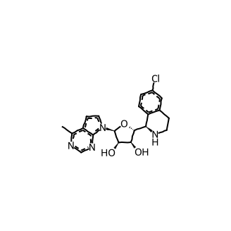 Cc1ncnc2c1ccn2[C@H]1O[C@H]([C@@H]2NCCc3cc(Cl)ccc32)[C@@H](O)[C@H]1O